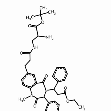 CCOC(=O)CC(c1ccccc1)N1C(=O)c2cc(CCC(=O)NCC(N)C(=O)OC(C)(C)C)ccc2N(C)C(=O)C1c1ccccc1